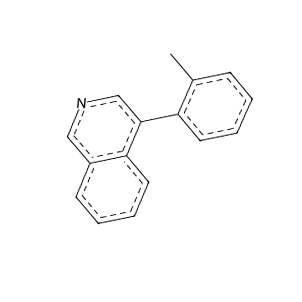 Cc1ccccc1-c1cncc2ccccc12